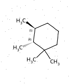 C[C@@H]1[C@@H](C)CCCC1(C)C